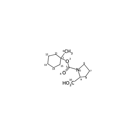 CC1(OC(=O)N2CCCC2C(=O)O)CCCCC1